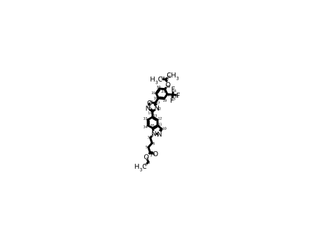 CCOC(=O)CCCn1ncc2cc(-c3noc(C4=CC(C(F)(F)F)C(OC(C)C)C=C4)n3)ccc21